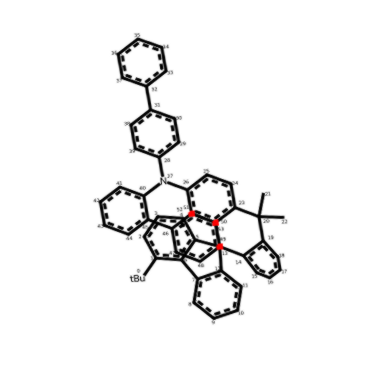 CC(C)(C)c1cccc2c1-c1ccccc1C21c2ccccc2C(C)(C)c2ccc(N(c3ccc(-c4ccccc4)cc3)c3ccccc3-c3ccccc3)cc21